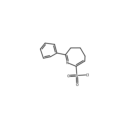 O=S(=O)(Cl)C1=CCCCC(c2ccccc2)=N1